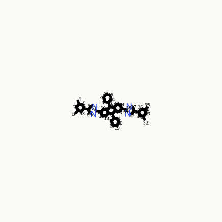 Cc1cc(C)cc(-c2cnc(-c3ccc4c(-c5ccccc5)c5cc(-c6ncc(-c7cc(C)cc(C)c7)cn6)ccc5c(C5=CCCC=C5)c4c3)nc2)c1